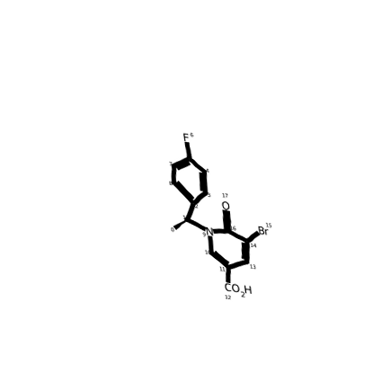 C[C@@H](c1ccc(F)cc1)n1cc(C(=O)O)cc(Br)c1=O